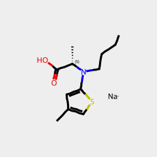 CCCCN(c1cc(C)cs1)[C@@H](C)C(=O)O.[Na]